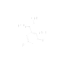 CCC(N)c1cc(F)cc(F)c1.Cl